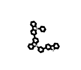 c1ccc(-n2c3ccccc3c3ccc(-c4ccc5c(c4)c4ccccc4n5-c4cccc(-c5ccc6c(c5)sc5ccccc56)c4)cc32)cc1